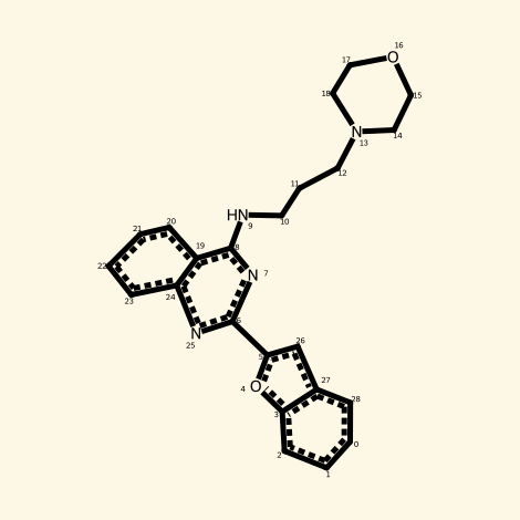 c1ccc2oc(-c3nc(NCCCN4CCOCC4)c4ccccc4n3)cc2c1